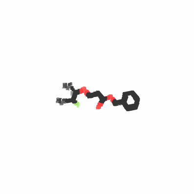 CC(F)[C@H](C)OCCC(=O)OCc1ccccc1